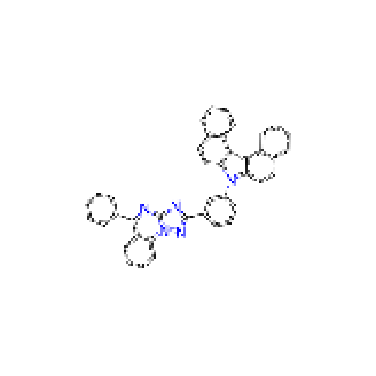 c1ccc(-c2nc3nc(-c4cccc(-n5c6ccc7ccccc7c6c6c7ccccc7ccc65)c4)nn3c3ccccc23)cc1